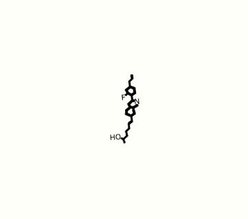 C=CCc1ccc(-c2cc3ccc(C=CCCCC(C)O)cc3cn2)c(F)c1